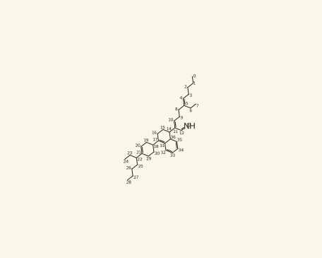 CCCC/C=C(\CC)CC/C=C(\C=N)C1CCC(C2CC=C(C(CC)CCCC)CC2)=C2C=CC=CC21